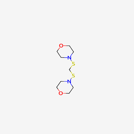 C1CN(SCSN2CCOCC2)CCO1